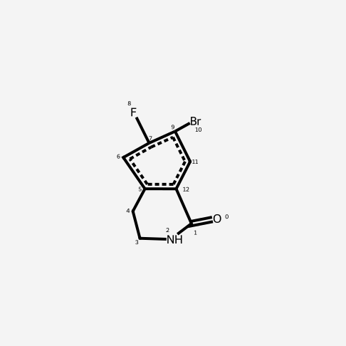 O=C1NCCc2cc(F)c(Br)cc21